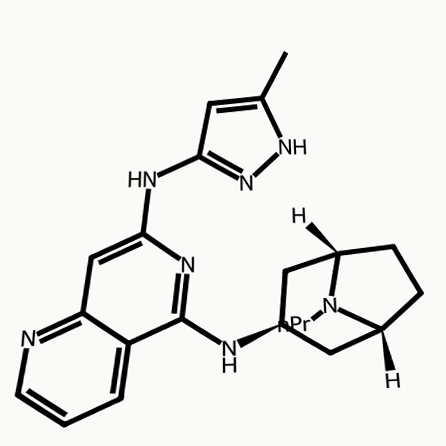 CCCN1[C@@H]2CC[C@H]1C[C@H](Nc1nc(Nc3cc(C)[nH]n3)cc3ncccc13)C2